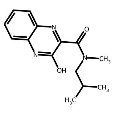 CC(C)CN(C)C(=O)c1nc2ccccc2nc1O